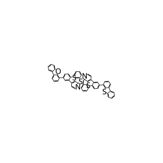 c1ccc([Si](c2ccccc2)(c2nccc3c2sc2ccc(-c4cccc5c4oc4ccccc45)cc23)c2nccc3c2sc2ccc(-c4cccc5c4sc4ccccc45)cc23)cc1